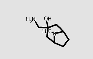 CN1C2CCC1CC(O)(CN)C2